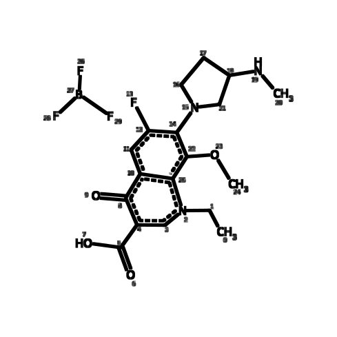 CCn1cc(C(=O)O)c(=O)c2cc(F)c(N3CCC(NC)C3)c(OC)c21.FB(F)F